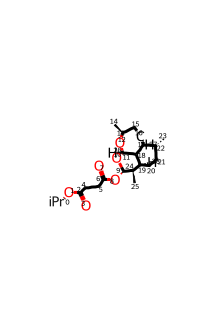 CC(C)OC(=O)CCC(=O)O[C@@H]1O[C@@H]2O[C@@H](C)CC[C@@H]3C2[C@@H](CC[C@H]3C)[C@H]1C